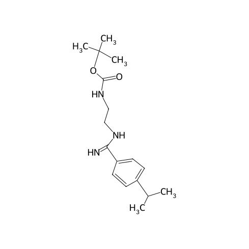 CC(C)c1ccc(C(=N)NCCNC(=O)OC(C)(C)C)cc1